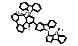 CC1(C)c2cccc(c2)-c2cccc3oc4c(-c5ccc6c(c5)c5ccccc5n6-c5cccc6c7ccccc7n(C(C)(C)C)c56)cc(-n5c6ccccc6c6ccccc65)c1c4c23